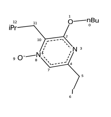 CCCCOc1nc(CI)c[n+]([O-])c1CC(C)C